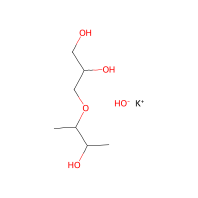 CC(O)C(C)OCC(O)CO.[K+].[OH-]